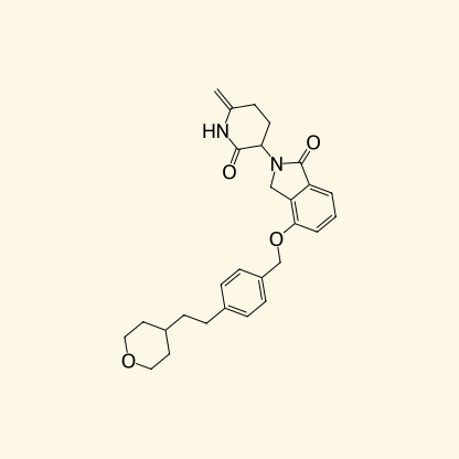 C=C1CCC(N2Cc3c(OCc4ccc(CCC5CCOCC5)cc4)cccc3C2=O)C(=O)N1